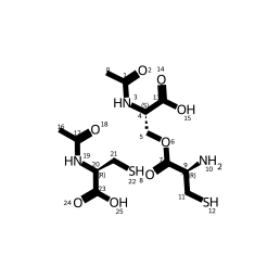 CC(=O)N[C@@H](COC(=O)[C@@H](N)CS)C(=O)O.CC(=O)N[C@@H](CS)C(=O)O